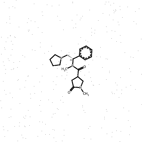 CN1CC(C(=O)N(C)[C@H](CN2CCCC2)c2ccccc2)CC1=O